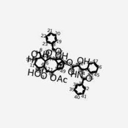 CC(=O)O[C@H]1C(=O)[C@@]2(C)C([C@@H]3CO[C@@H]3C[C@@H]2O)[C@H](OC(=O)c2ccccc2)[C@]2(O)C[C@H](OC(=O)[C@H](O)[C@@H](NC(=O)c3ccccc3)C3C=CC=CC3)C=C1C2(C)C